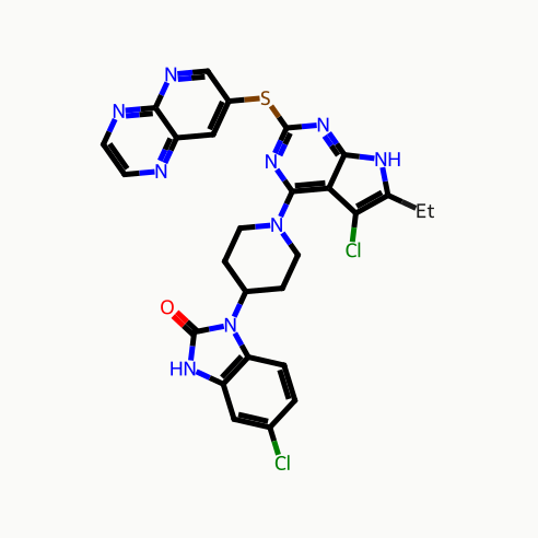 CCc1[nH]c2nc(Sc3cnc4nccnc4c3)nc(N3CCC(n4c(=O)[nH]c5cc(Cl)ccc54)CC3)c2c1Cl